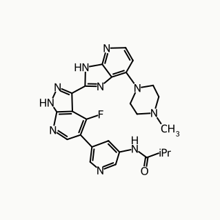 CC(C)C(=O)Nc1cncc(-c2cnc3[nH]nc(-c4nc5c(N6CCN(C)CC6)ccnc5[nH]4)c3c2F)c1